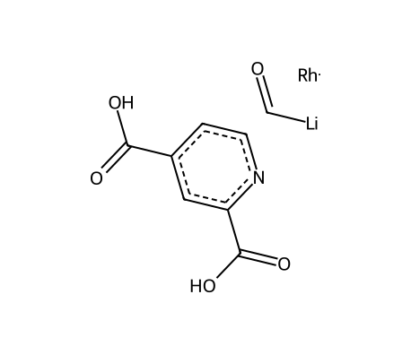 O=C(O)c1ccnc(C(=O)O)c1.[Li][CH]=O.[Rh]